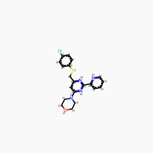 Fc1ccc(SCc2cc(N3CCOCC3)nc(-c3ccccn3)n2)cc1